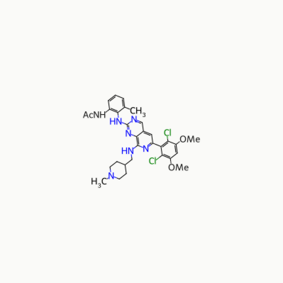 COc1cc(OC)c(Cl)c(-c2cc3cnc(Nc4c(C)cccc4NC(C)=O)nc3c(NCC3CCN(C)CC3)n2)c1Cl